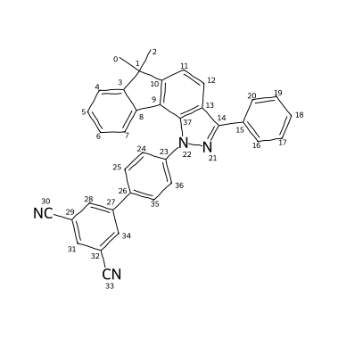 CC1(C)c2ccccc2-c2c1ccc1c(-c3ccccc3)nn(-c3ccc(-c4cc(C#N)cc(C#N)c4)cc3)c21